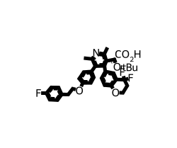 Cc1nc(C)c([C@H](OC(C)(C)C)C(=O)O)c(-c2ccc3c(c2)C(F)(F)CCO3)c1-c1ccc(OCCc2ccc(F)cc2)cc1